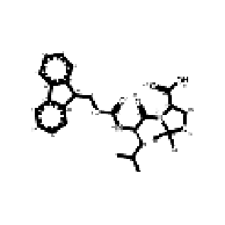 CC(C)C[C@@H](NC(=O)OCC1c2ccccc2-c2ccccc21)C(=O)N1C(C(=O)O)COC1(C)C